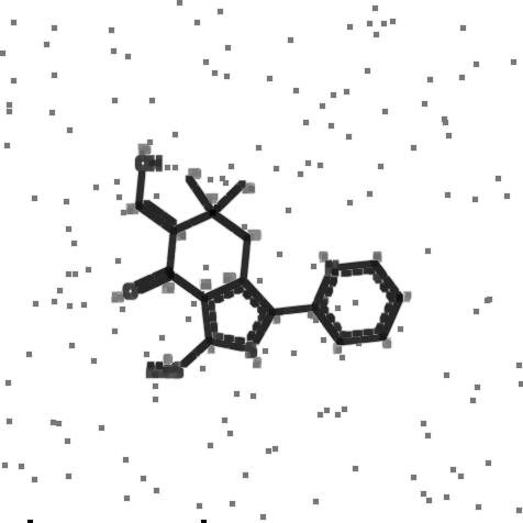 CSc1sc(-c2ccccn2)c2c1C(=O)C(=CO)C(C)(C)C2